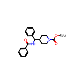 CC(C)(C)OC(=O)N1CCC(C(NC(=O)c2ccccc2)c2ccccc2)CC1